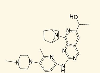 Cc1nc(Nc2ncc3cc(C(C)O)nc(N4C5CCC4CC5)c3n2)ccc1N1CCN(C)CC1